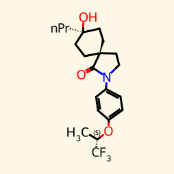 CCC[C@]1(O)CC[C@]2(CCN(c3ccc(O[C@@H](C)C(F)(F)F)cc3)C2=O)CC1